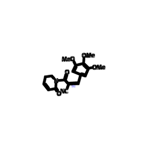 COc1cc(/C=C(/C#N)C(=O)N2CCC=CC2=O)cc(OC)c1OC